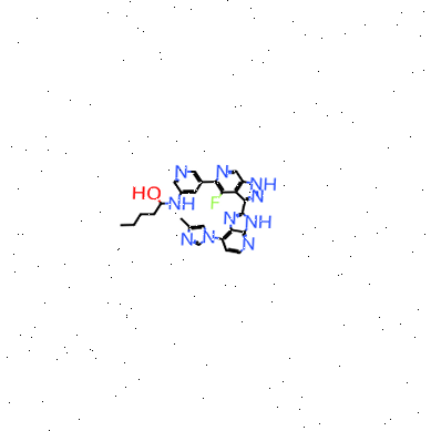 CCCCC(O)Nc1cncc(-c2ncc3[nH]nc(-c4nc5c(-n6cnc(C)c6)ccnc5[nH]4)c3c2F)c1